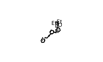 CCN(CC)C(=O)OC1CCCN(Cc2cccc(C#CCCN3CCCCC3)c2)C1